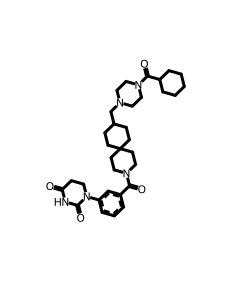 O=C1CCN(c2cccc(C(=O)N3CCC4(CCC(CN5CCN(C(=O)C6CCCCC6)CC5)CC4)CC3)c2)C(=O)N1